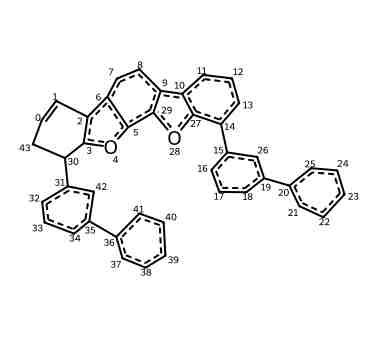 C1=Cc2c(oc3c2ccc2c4cccc(-c5cccc(-c6ccccc6)c5)c4oc23)C(c2cccc(-c3ccccc3)c2)C1